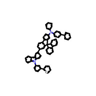 c1ccc(-c2ccc(N(c3ccccc3)c3ccc4c(c3)C(c3ccccc3)(c3ccccc3)c3cc(-c5ccc6c(c5)c5ccccc5n6-c5cccc(-c6ccccc6)c5)ccc3-4)cc2)cc1